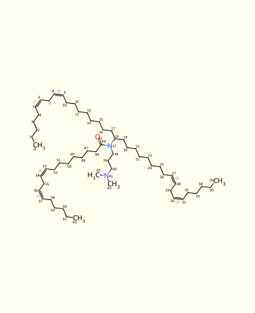 CCCCC/C=C\C/C=C\CCCCCCCCC(CCCCCCCC/C=C\C/C=C\CCCCC)N(CCCN(C)C)C(=O)CCCCCCC/C=C\C/C=C\CCCCC